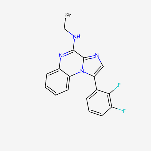 CC(C)CNc1nc2ccccc2n2c(-c3cccc(F)c3F)cnc12